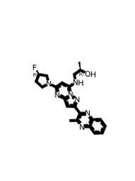 Cc1nc2ccccc2nc1-c1cc2nc(N3CC[C@@H](F)C3)cc(NC[C@@H](C)O)n2n1